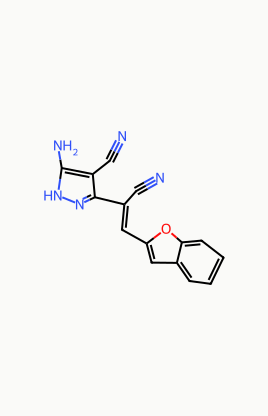 N#CC(=Cc1cc2ccccc2o1)c1n[nH]c(N)c1C#N